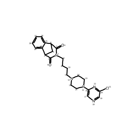 O=C1C2CC(C(=O)N1CCCCN1CCN(c3cncc(Cl)n3)CC1)c1ccccc12